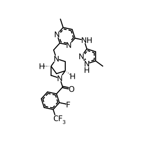 Cc1cc(Nc2cc(C)[nH]n2)nc(CN2C[C@@H]3C[C@H]2CN3C(=O)c2cccc(C(F)(F)F)c2F)n1